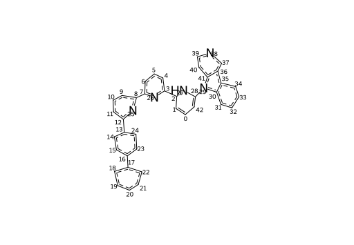 C1=CC(c2cccc(-c3cccc(-c4ccc(-c5ccccc5)cc4)n3)n2)NC(n2c3ccccc3c3cnccc32)=C1